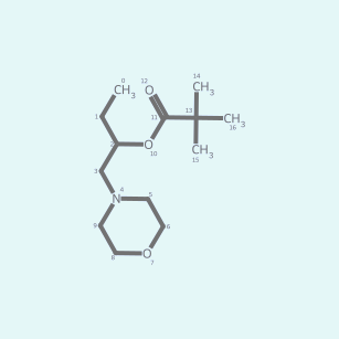 CCC(CN1CCOCC1)OC(=O)C(C)(C)C